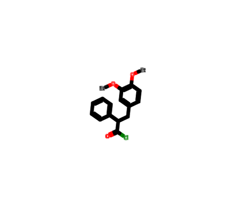 CCOc1ccc(CC(C(=O)Cl)c2ccccc2)cc1OCC